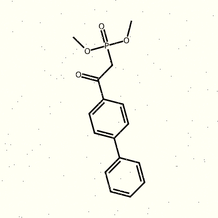 COP(=O)(CC(=O)c1ccc(-c2ccccc2)cc1)OC